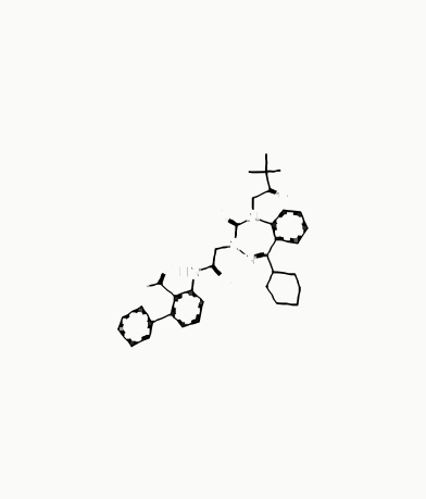 CC(C)(C)C(=O)CN1C(=O)N(CC(=O)Nc2cccc(-c3ccccc3)c2C(=O)O)N=C(C2CCCCC2)c2ccccc21